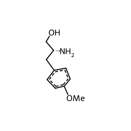 COc1ccc(C[C@@H](N)CO)cc1